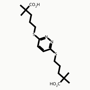 CC(C)(CCCSc1ccc(SCCCC(C)(C)C(=O)O)nn1)C(=O)O